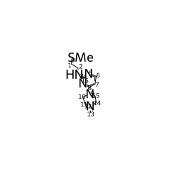 CSCCNc1nccc(N2CCN(C)CC2)n1